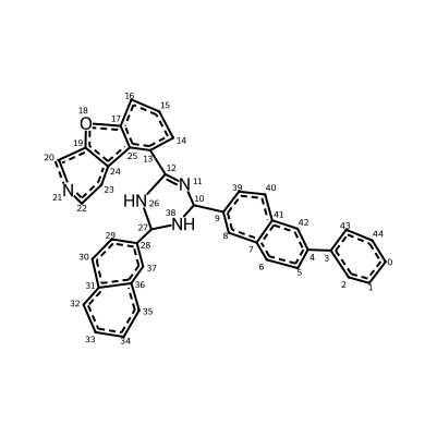 c1ccc(-c2ccc3cc(C4N=C(c5cccc6oc7cnccc7c56)NC(c5ccc6ccccc6c5)N4)ccc3c2)cc1